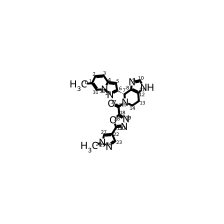 Cc1ccc2cc([C@@H]3c4nc[nH]c4CCN3C(=O)c3nnc(-c4cnn(C)c4)o3)nn2c1